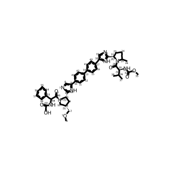 COC[C@H]1C[C@@H](c2ncc(-c3ccc(-c4ccc(-c5cnc([C@H]6CCC(C)N6C(=O)[C@@H](NC(=O)OC)C(C)C)[nH]5)cc4)cc3)[nH]2)N(C(=O)C(NC(=O)O)c2ccccc2)C1